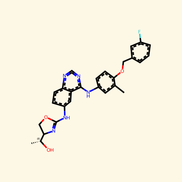 Cc1cc(Nc2ncnc3ccc(NC4=NC([C@@H](C)O)CO4)cc23)ccc1OCc1cccc(F)c1